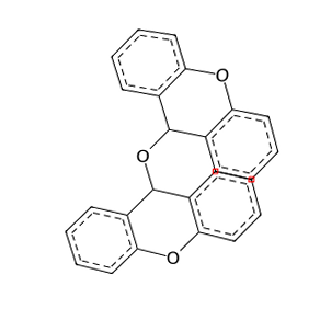 c1ccc2c(c1)Oc1ccccc1C2OC1c2ccccc2Oc2ccccc21